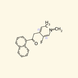 C=N/C=C(F)\C(=C/C)CC(=O)c1cccc2ccccc12